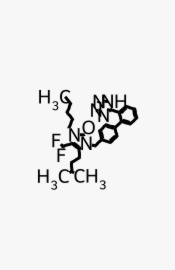 CCCCCn1c(C(F)F)c(CCC(C)C)n(Cc2ccc(-c3ccccc3-c3nnn[nH]3)cc2)c1=O